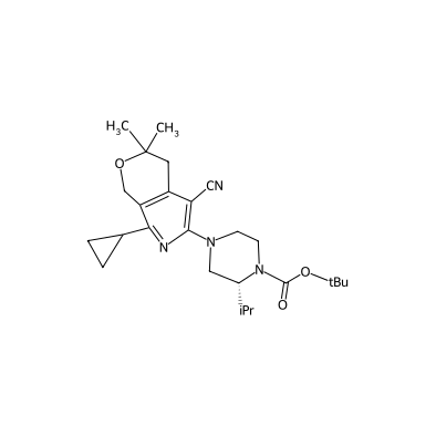 CC(C)[C@@H]1CN(c2nc(C3CC3)c3c(c2C#N)CC(C)(C)OC3)CCN1C(=O)OC(C)(C)C